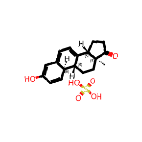 C[C@]12CC[C@H]3C(=CC=C4C=C(O)C=C[C@@H]43)[C@@H]1CCC2=O.O=S(=O)(O)O